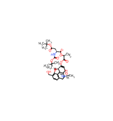 C[C@H](OC(=O)[C@H](CC(=O)OC(C)(C)C)NC(=O)OC(C)(C)C)C(=O)OC1=CC[C@@]2(O)[C@H]3Cc4ccc(CO)c5c4[C@@]2(CCN3C)[C@H]1O5